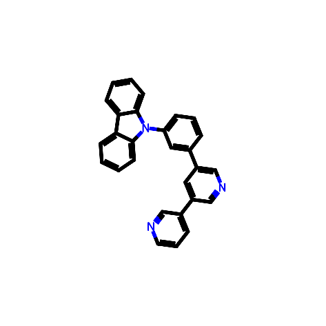 c1cncc(-c2cncc(-c3cccc(-n4c5ccccc5c5ccccc54)c3)c2)c1